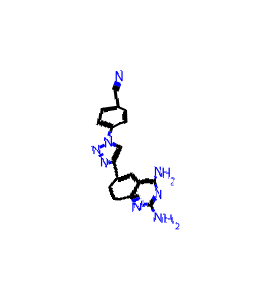 N#Cc1ccc(-n2cc(-c3ccc4nc(N)nc(N)c4c3)nn2)cc1